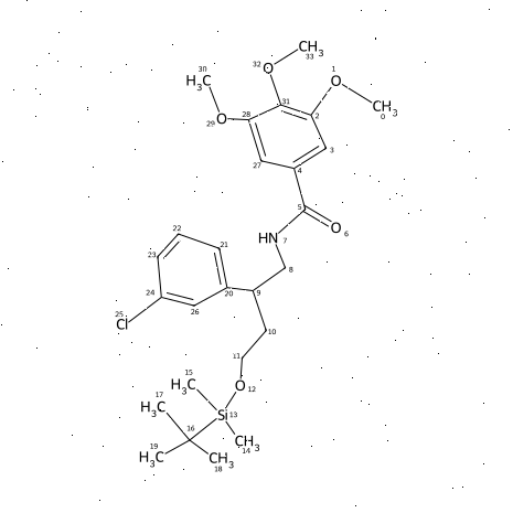 COc1cc(C(=O)NCC(CCO[Si](C)(C)C(C)(C)C)c2cccc(Cl)c2)cc(OC)c1OC